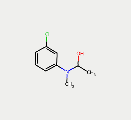 CC(O)N(C)c1cccc(Cl)c1